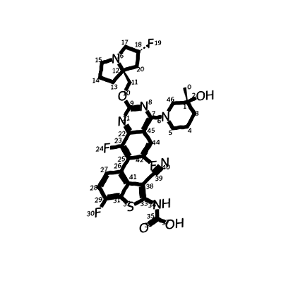 C[C@@]1(O)CCCN(c2nc(OC[C@@]34CCCN3C[C@H](F)C4)nc3c(F)c(-c4ccc(F)c5sc(NC(=O)O)c(C#N)c45)c(F)cc23)C1